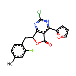 N#Cc1ccc(CC2OC(=O)c3c(-c4ccco4)nc(Cl)nc32)c(F)c1